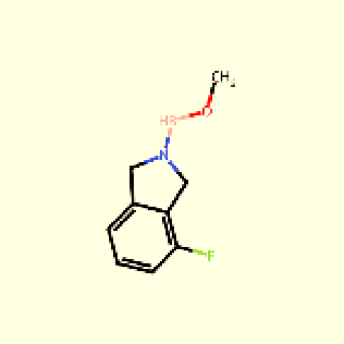 COBN1Cc2cccc(F)c2C1